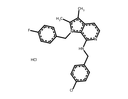 Cc1c(C)n(Cc2ccc(F)cc2)c2c(NCc3ccc(Cl)cc3)nccc12.Cl